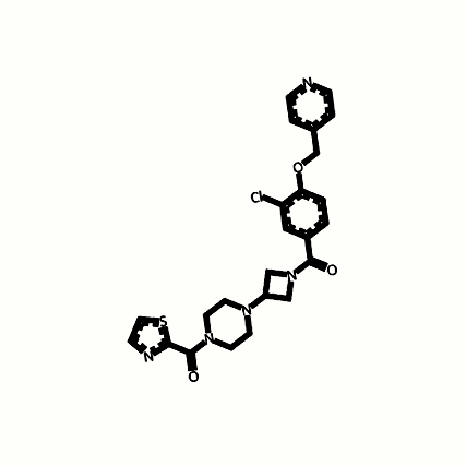 O=C(c1ccc(OCc2ccncc2)c(Cl)c1)N1CC(N2CCN(C(=O)c3nccs3)CC2)C1